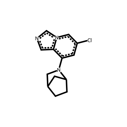 Clc1cc(N2CC3CCC2C3)c2cncn2c1